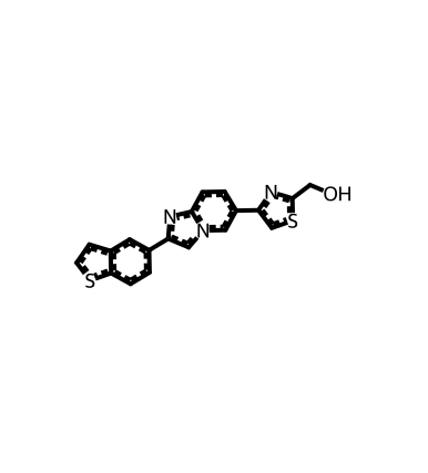 OCc1nc(-c2ccc3nc(-c4ccc5sccc5c4)cn3c2)cs1